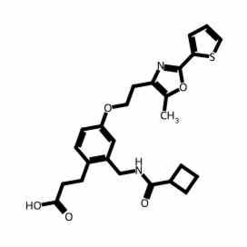 Cc1oc(-c2cccs2)nc1CCOc1ccc(CCC(=O)O)c(CNC(=O)C2CCC2)c1